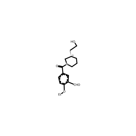 CCOc1ccc(C(=O)N2CCC[C@@H](CCO)C2)cc1C=O